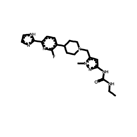 CCNC(=O)Nc1cc(CN2CCC(c3ccc(-c4ncc[nH]4)nc3F)CC2)n(C)n1